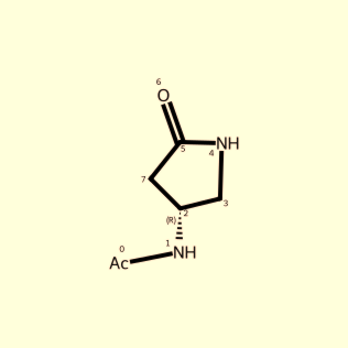 CC(=O)N[C@H]1CNC(=O)C1